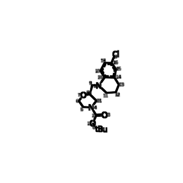 CC(C)(C)OC(=O)N1CCO[C@@H](CN2CCCc3cc(Cl)ccc32)C1